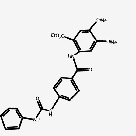 CCOC(=O)c1cc(OC)c(OC)cc1NC(=O)c1ccc(NC(=O)Nc2ccccc2)cc1